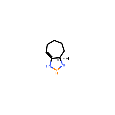 C1=C2NPN[C@@H]2CCCC1